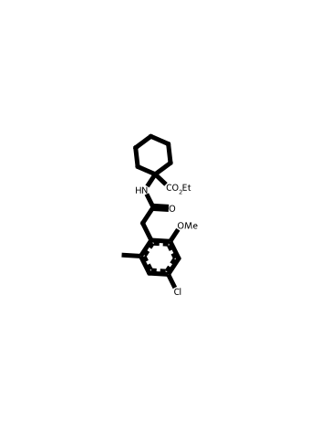 CCOC(=O)C1(NC(=O)Cc2c(C)cc(Cl)cc2OC)CCCCC1